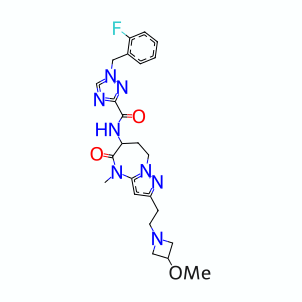 COC1CN(CCc2cc3n(n2)CCC(NC(=O)c2ncn(Cc4ccccc4F)n2)C(=O)N3C)C1